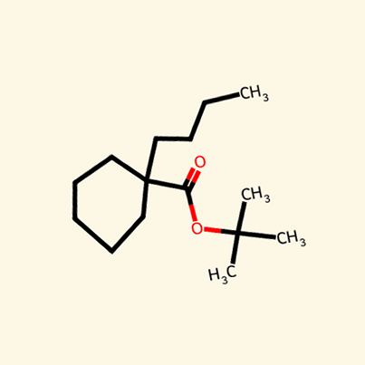 CCCCC1(C(=O)OC(C)(C)C)CCCCC1